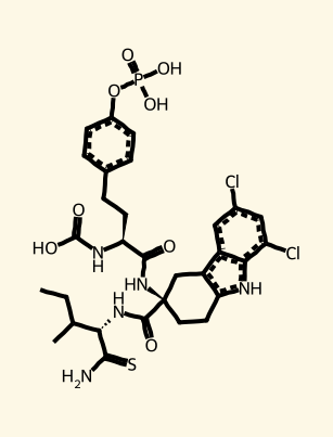 CCC(C)[C@H](NC(=O)[C@@]1(NC(=O)[C@H](CCc2ccc(OP(=O)(O)O)cc2)NC(=O)O)CCc2[nH]c3c(Cl)cc(Cl)cc3c2C1)C(N)=S